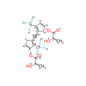 C=C(O)C(=O)[O-].C=C(O)C(=O)[O-].FC(F)(F)C1=[C]([Hf+2][C]2=C(C(F)(F)F)C=CC2)CC=C1